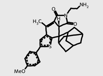 COc1ccc(-c2cc3c(s2)C2(C4CC5CC(C4)CC2C5)[C@H]2C(=O)N(CCN)C(=O)C2=C3C)cc1